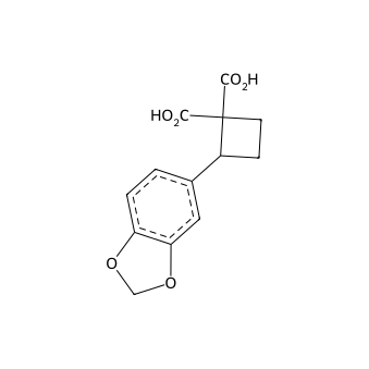 O=C(O)C1(C(=O)O)CCC1c1ccc2c(c1)OCO2